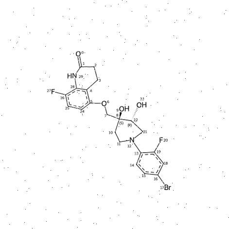 O=C1CCc2c(OC[C@@]3(O)CCN(c4ccc(Br)cc4F)C[C@H]3O)ccc(F)c2N1